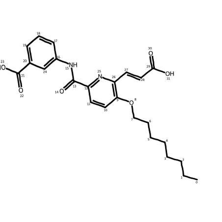 CCCCCCCCOc1ccc(C(=O)Nc2cccc(C(=O)O)c2)nc1C=CC(=O)O